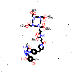 CCNC(=O)c1nnc(-c2cc(C(C)C)c(O)cc2O)n1-c1ccc(CC2CCN(C(=O)CC[C@H](NC(=O)CC[C@H](C(=O)OC(C)(C)C)N3CCN(CC(=O)OC(C)(C)C)CCN(CC(=O)OC(C)(C)C)CCN(CC(=O)OC(C)(C)C)CC3)C(=O)OC(C)(C)C)CC2)cc1